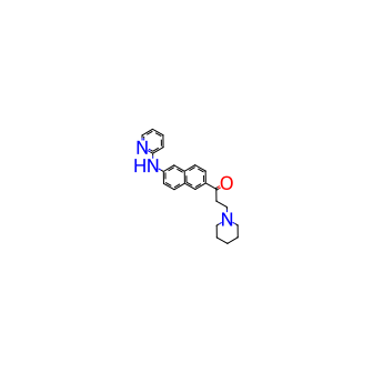 O=C(CCN1CCCCC1)c1ccc2cc(Nc3ccccn3)ccc2c1